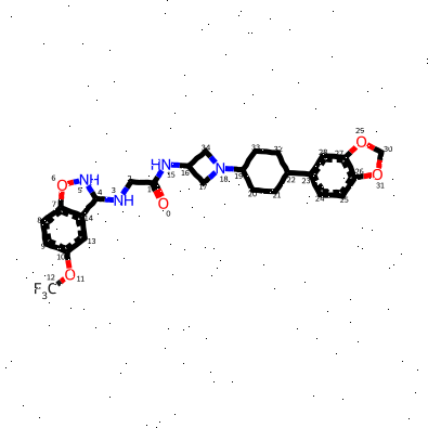 O=C(CNC1NOc2ccc(OC(F)(F)F)cc21)NC1CN(C2CCC(c3ccc4c(c3)OCO4)CC2)C1